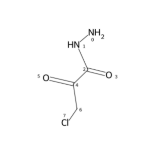 NNC(=O)C(=O)CCl